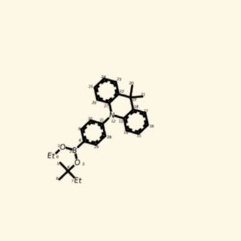 CCOB(OC(C)(C)CC)c1ccc(N2c3ccccc3C(C)(C)c3ccccc32)cc1